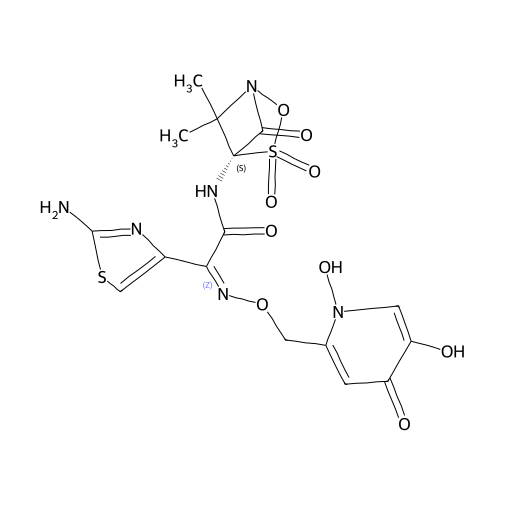 CC1(C)N2OS(=O)(=O)[C@]1(NC(=O)/C(=N\OCc1cc(=O)c(O)cn1O)c1csc(N)n1)C2=O